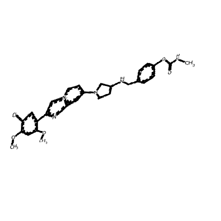 CNC(=O)Oc1ccc(CNC2CCN(c3ccn4cc(-c5cc(Cl)c(OC)cc5OC)nc4c3)C2)cc1